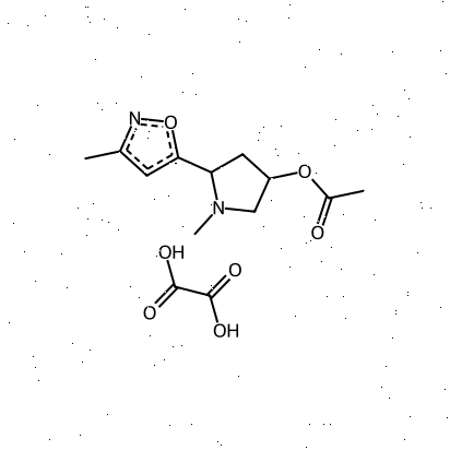 CC(=O)OC1CC(c2cc(C)no2)N(C)C1.O=C(O)C(=O)O